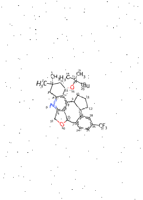 CC1(C)Cc2nc3c(c(C4CCCC4)c2[C@@H](O[Si](C)(C)C(C)(C)C)C1)C(c1ccc(C(F)(F)F)cc1)OC3